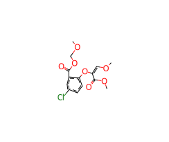 CO/C=C(/Oc1ccc(Cl)cc1C(=O)OCOC)C(=O)OC